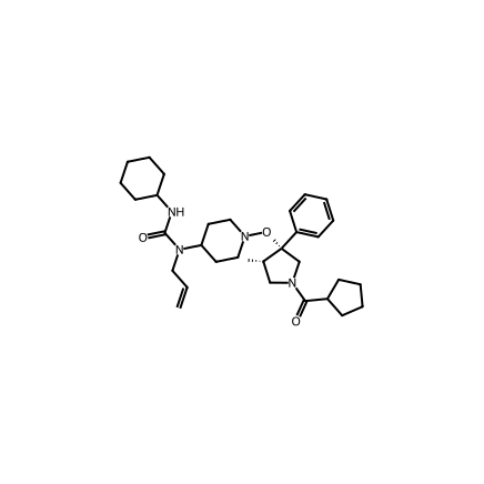 C=CCN(C(=O)NC1CCCCC1)C1CCN(O[C@]2(c3ccccc3)CN(C(=O)C3CCCC3)C[C@@H]2C)CC1